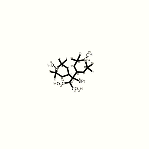 CCCC(C1CC(C)(C)N(O)C(C)(C)C1)(C1CC(C)(C)N(O)C(C)(C)C1)C(C(=O)O)C(=O)O